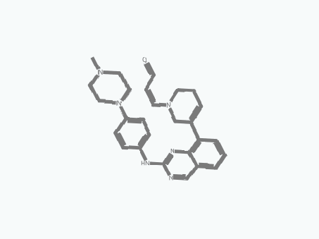 CN1CCN(c2ccc(Nc3ncc4cccc(C5=CCCN(C=CC=O)C5)c4n3)cc2)CC1